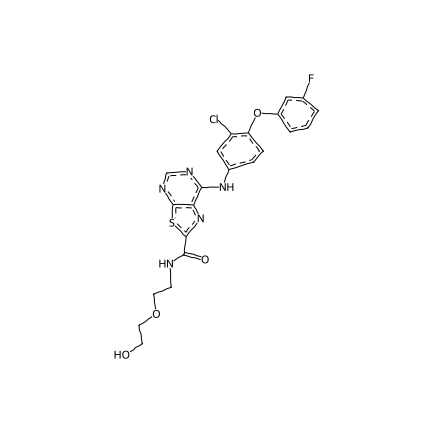 O=C(NCCOCCO)c1nc2c(Nc3ccc(Oc4cccc(F)c4)c(Cl)c3)ncnc2s1